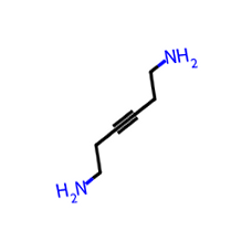 NCCC#CCCN